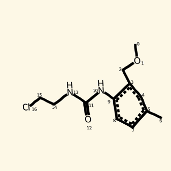 COCc1cc(C)ccc1NC(=O)NCCCl